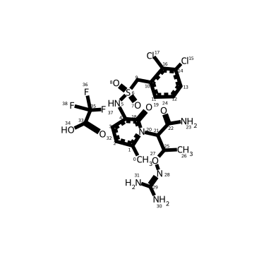 Cc1ccc(NS(=O)(=O)Cc2cccc(Cl)c2Cl)c(=O)n1C(C(N)=O)C(C)ON=C(N)N.O=C(O)C(F)(F)F